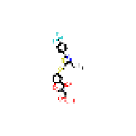 Cc1nc(-c2ccc(C(F)(F)F)cc2)sc1CSc1ccc2c(c1)C(=O)/C(=C/C(=O)O)CO2